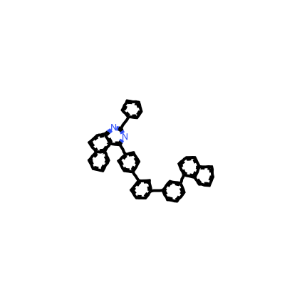 c1ccc(-c2nc(-c3ccc(-c4cccc(-c5cccc(-c6cccc7ccccc67)c5)c4)cc3)c3c(ccc4ccccc43)n2)cc1